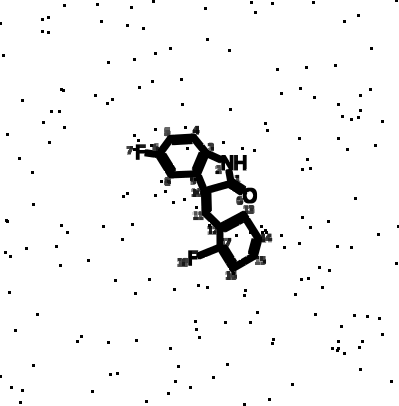 O=C1Nc2ccc(F)cc2C1=Cc1ccccc1F